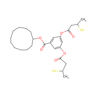 CC(S)CC(=O)Oc1cc(OC(=O)CC(C)S)cc(C(=O)OC2CCCCCCCCCC2)c1